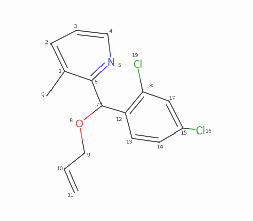 [CH2]c1cccnc1C(OCC=C)c1ccc(Cl)cc1Cl